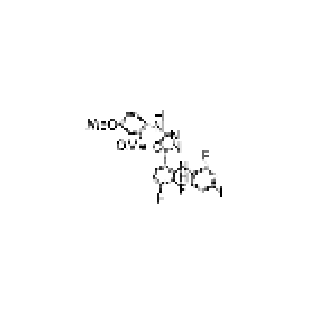 COc1ccc(Nc2nnc(-c3ccc(F)c(F)c3Nc3ccc(I)cc3F)o2)c(OC)c1